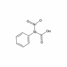 O=[C](O)[Sb]([c]1ccccc1)[N+](=O)[O-]